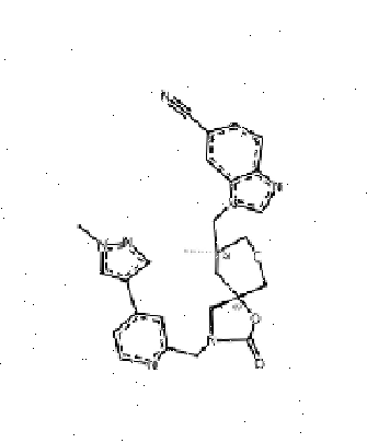 Cn1cc(-c2ccnc(CN3C[C@@]4(CCC[C@](C)(Cn5cnc6ccc(C#N)cc65)C4)OC3=O)c2)cn1